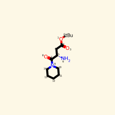 CC(C)(C)OC(=O)C[C@H](N)C(=O)N1CCCCC1